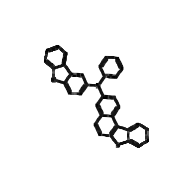 c1ccc(N(c2ccc3c(ccc4sc5ccccc5c43)c2)c2ccc3oc4ccccc4c3c2)cc1